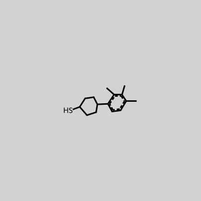 Cc1ccc(C2CCC(S)CC2)c(C)c1C